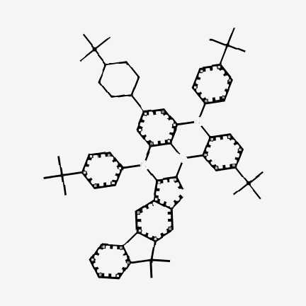 CC(C)(C)c1ccc(N2c3ccc(C(C)(C)C)cc3B3c4sc5cc6c(cc5c4N(c4ccc(C(C)(C)C)cc4)c4cc(C5CCC(C(C)(C)C)CC5)cc2c43)-c2ccccc2C6(C)C)cc1